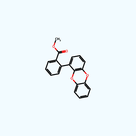 COC(=O)c1ccccc1-c1cccc2c1Oc1ccccc1O2